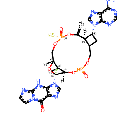 C=C1O[P@@](=O)(S)OC[C@H]2O[C@@H](n3cnc4c(=O)n5ccnc5[nH]c43)[C@H](O[PH](=O)OCC3C[C@@H](n4cnc5c(N)ncnc54)[C@H]13)[C@@H]2F